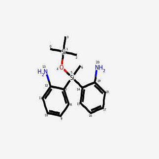 C[Si](C)(C)O[Si](C)(c1ccccc1N)c1ccccc1N